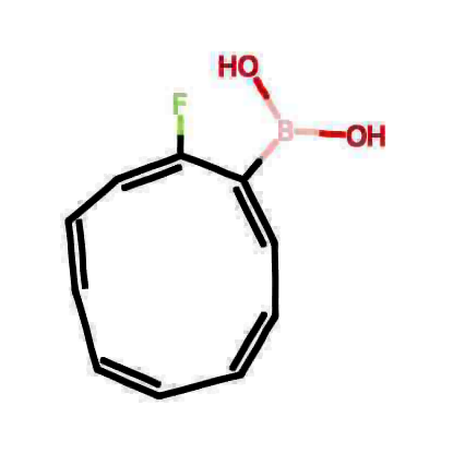 OB(O)c1ccccccccc1F